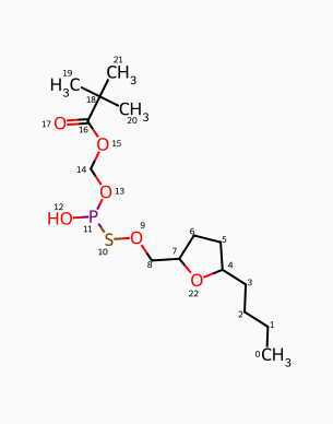 CCCCC1CCC(COSP(O)OCOC(=O)C(C)(C)C)O1